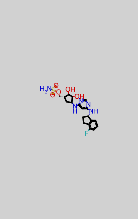 NS(=O)(=O)OC[C@H]1C[C@@H](Nc2cc(N[C@H]3CCc4c(F)cccc43)ncn2)[C@H](O)[C@@H]1O